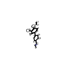 C/C=C/C1CC=C(c2ccc(OCC)c(Cl)c2F)CC1